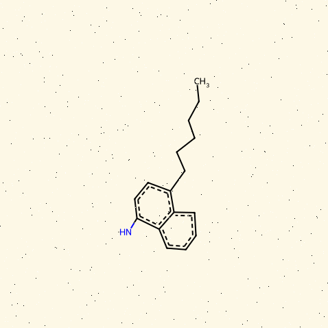 CCCCCCc1ccc([NH])c2ccccc12